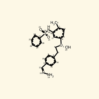 Cc1ccc(OCCc2ccc(/C=N\N)cc2)cc1NS(=O)(=O)c1ccccc1.Cl